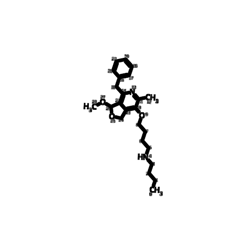 CCCCNCCCCOc1c(C)nc(Cc2ccccc2)c2c1COC2OC